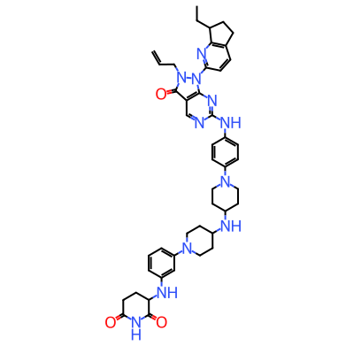 C=CCn1c(=O)c2cnc(Nc3ccc(N4CCC(NC5CCN(c6cccc(NC7CCC(=O)NC7=O)c6)CC5)CC4)cc3)nc2n1-c1ccc2c(n1)C(CC)CC2